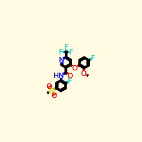 COc1cc(F)ccc1Oc1cc(C(F)(F)F)ncc1C(=O)Nc1cc(S(C)(=O)=O)ccc1F